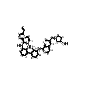 C=Cc1cnc2c(Nc3cccc(-c4cccc(Nc5nccc6cc(CN7CCC(O)C7)cnc56)c4Cl)c3Cl)nccn12